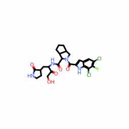 O=C1NCCC1CC(NC(=O)C1C2CCCC2CN1C(=O)c1cc2cc(Cl)c(F)c(Cl)c2[nH]1)C(=O)CO